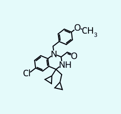 COc1ccc(CN2c3ccc(Cl)cc3C(CC3CC3)(C3CC3)NC2C=O)cc1